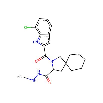 CCCCNNC(=O)C1CC2(CCCCC2)CN1C(=O)c1cc2cccc(Cl)c2[nH]1